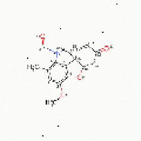 COc1cc(C)c2c3c1OC1CC(=O)C=CC31CCN2C=O